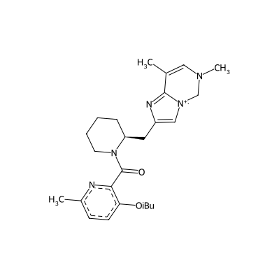 CC1=CN(C)C[N+]2C=C(C[C@@H]3CCCCN3C(=O)c3nc(C)ccc3OCC(C)C)N=C12